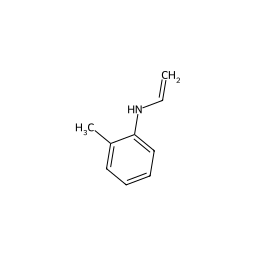 C=CNc1ccccc1C